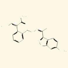 CO/C=C(/C(=O)OC)c1ccccc1CO/N=C(/C)c1noc2cc(OC)ccc12